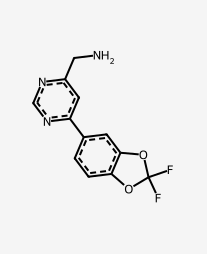 NCc1cc(-c2ccc3c(c2)OC(F)(F)O3)ncn1